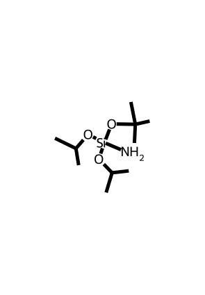 CC(C)O[Si](N)(OC(C)C)OC(C)(C)C